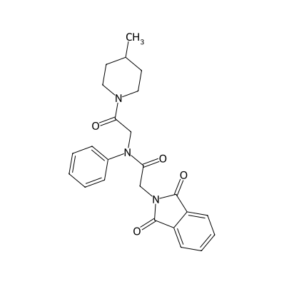 CC1CCN(C(=O)CN(C(=O)CN2C(=O)c3ccccc3C2=O)c2ccccc2)CC1